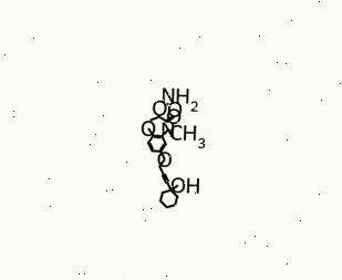 CN1C(=O)[C@@H](OC(N)=O)COc2ccc(OCC#CC3(O)CCCCC3)cc21